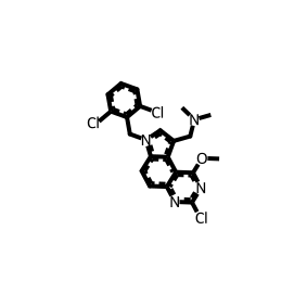 COc1nc(Cl)nc2ccc3c(c(CN(C)C)cn3Cc3c(Cl)cccc3Cl)c12